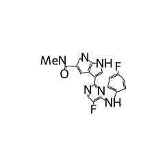 CNC(=O)c1cnc2[nH]cc(-c3ncc(F)c(N[C@@H](C)c4ccc(F)cc4)n3)c2c1